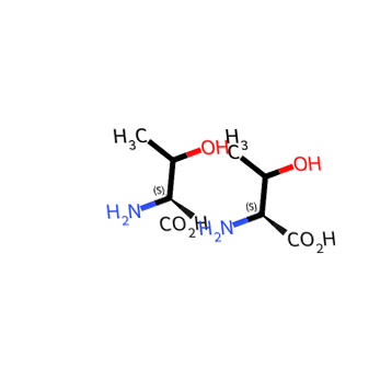 CC(O)[C@H](N)C(=O)O.CC(O)[C@H](N)C(=O)O